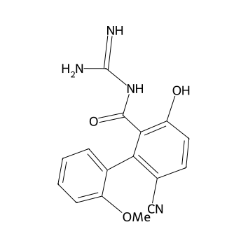 COc1ccccc1-c1c(C#N)ccc(O)c1C(=O)NC(=N)N